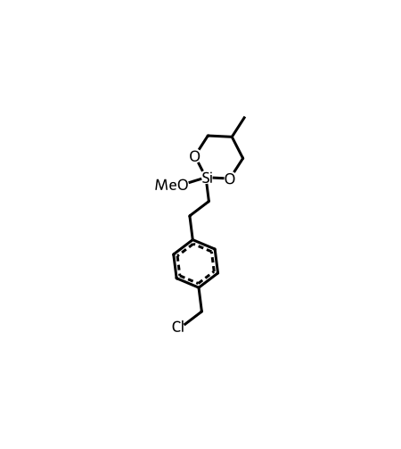 CO[Si]1(CCc2ccc(CCl)cc2)OCC(C)CO1